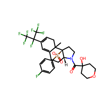 CC12CC=C(C(F)(C(F)(F)F)C(F)(F)F)C=C1CC[C@H]1N(C(=O)C3(O)CCOCC3)CC[C@]12S(=O)(=O)c1ccc(F)cc1